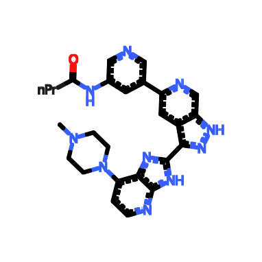 CCCC(=O)Nc1cncc(-c2cc3c(-c4nc5c(N6CCN(C)CC6)ccnc5[nH]4)n[nH]c3cn2)c1